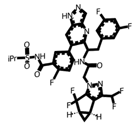 CC(C)S(=O)(=O)NC(=O)c1cc(-c2cc3[nH]ncc3nc2C(Cc2cc(F)cc(F)c2)NC(=O)Cn2nc(C(F)F)c3c2C(F)(F)[C@@H]2C[C@H]32)ccc1F